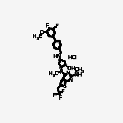 CNc1nc(N(C)[C@H]2C[C@@H](NCc3ccc(-c4cc(F)c(F)c(OC)c4)cc3)C[C@H]2O)c2cc(CC(F)(F)F)sc2n1.Cl